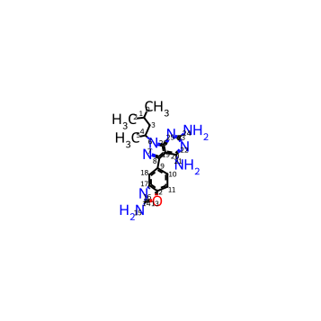 CC(C)CC(C)n1nc(-c2ccc3oc(N)nc3c2)c2c(N)nc(N)nc21